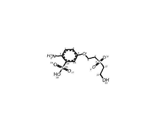 Nc1ccc(OCCS(=O)(=O)CCO)cc1S(=O)(=O)O